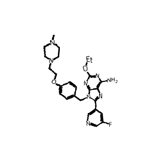 CCOc1nc(N)c2nc(-c3cncc(F)c3)n(Cc3ccc(OCCN4CCN(C)CC4)cc3)c2n1